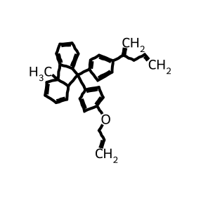 C=CCOc1ccc(C2(c3ccc(C(=C)CC=C)cc3)c3ccccc3C3(C)C=CC=CC32)cc1